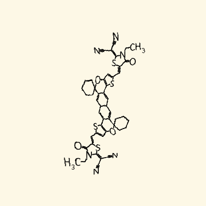 CCn1c(=C(C#N)C#N)s/c(=C\c2cc3c(s2)C2=CC4C=C5C(=CC4C=C2C2(CCCCC2)O3)c2sc(/C=c3\sc(=C(C#N)C#N)n(CC)c3=O)cc2OC52CCCCC2)c1=O